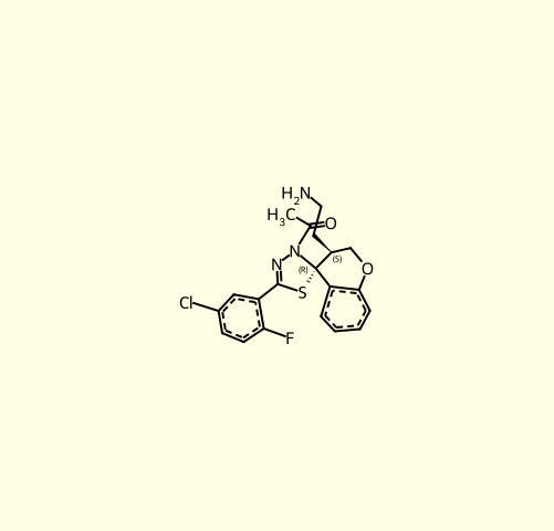 CC(=O)N1N=C(c2cc(Cl)ccc2F)S[C@]12c1ccccc1OC[C@@H]2CCN